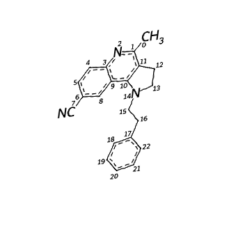 Cc1nc2ccc(C#N)cc2c2c1CCN2CCc1ccccc1